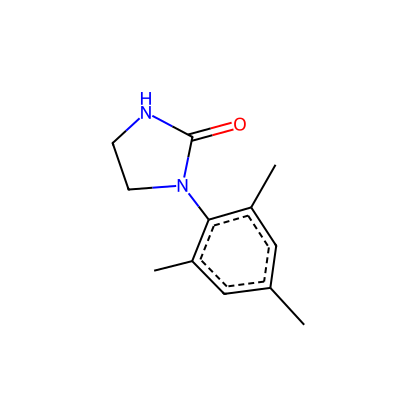 Cc1cc(C)c(N2CCNC2=O)c(C)c1